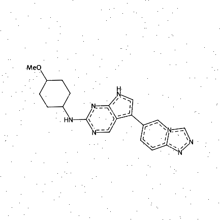 COC1CCC(Nc2ncc3c(-c4ccc5nncn5c4)c[nH]c3n2)CC1